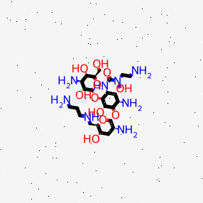 NCCCNC[C@H]1O[C@H](OC2[C@@H](N)C[C@@H](NC(=O)N(O)CCN)[C@H](O[C@H]3O[C@H](CO)[C@@H](O)[C@H](N)[C@H]3O)[C@H]2O)[C@H](N)C[C@@H]1O